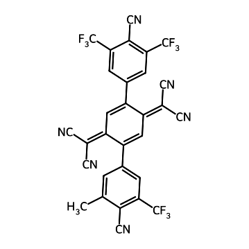 Cc1cc(-c2cc(=C(C#N)C#N)c(-c3cc(C(F)(F)F)c(C#N)c(C(F)(F)F)c3)cc2=C(C#N)C#N)cc(C(F)(F)F)c1C#N